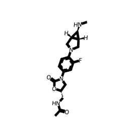 CN[C@H]1[C@@H]2CN(c3ccc(N4C[C@H](CNC(C)=O)OC4=O)cc3F)C[C@@H]21